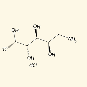 Cl.NC[C@@H](O)[C@H](O)[C@H](O)[C@@H](O)C=O